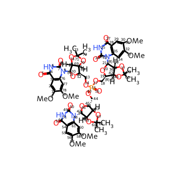 COc1cc2c(=O)[nH]c(=O)n([C@@H]3O[C@H](COP(=O)(OC[C@H]4O[C@@H](n5c(=O)[nH]c(=O)c6cc(OC)c(OC)cc65)[C@@H]5OC(C)(C)O[C@@H]54)OC[C@H]4O[C@@H](n5c(=O)[nH]c(=O)c6cc(OC)c(OC)cc65)[C@@H]5OC(C)(C)O[C@@H]54)[C@H]4OC(C)(C)O[C@H]43)c2cc1OC